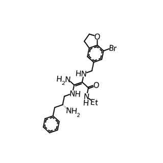 CCNC(=O)/C(NCc1cc(Br)c2c(c1)CCO2)=C(/N)NC[C@H](N)Cc1ccccc1